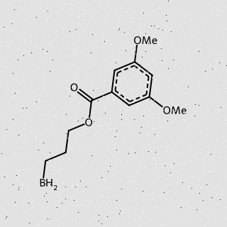 BCCCOC(=O)c1cc(OC)cc(OC)c1